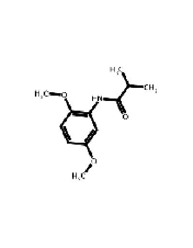 COc1ccc(OC)c(NC(=O)C(C)C)c1